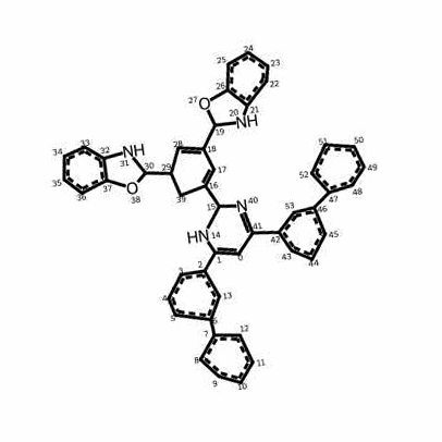 C1=C(c2cccc(-c3ccccc3)c2)NC(C2=CC(C3Nc4ccccc4O3)=CC(C3Nc4ccccc4O3)C2)N=C1c1cccc(-c2ccccc2)c1